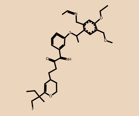 C/C=N\Cc1cc(OCC)c(COC)cc1C(C)SC1=C=C=CC(C(=N)C(=O)CCC2C=C(C(C)(CC)CF)OCC2)=C1